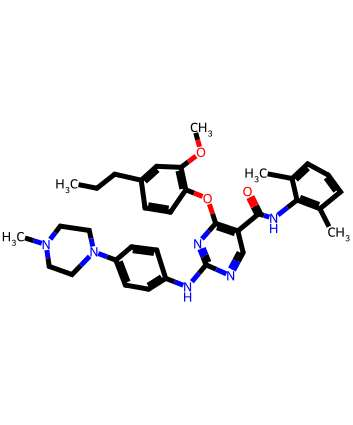 CCCc1ccc(Oc2nc(Nc3ccc(N4CCN(C)CC4)cc3)ncc2C(=O)Nc2c(C)cccc2C)c(OC)c1